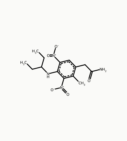 CCC(CC)Nc1c([N+](=O)[O-])cc(CC(N)=O)c(C)c1[N+](=O)[O-]